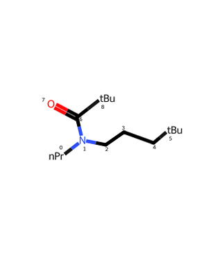 CCCN(CCCC(C)(C)C)C(=O)C(C)(C)C